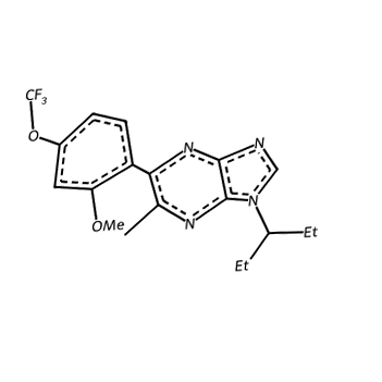 CCC(CC)n1cnc2nc(-c3ccc(OC(F)(F)F)cc3OC)c(C)nc21